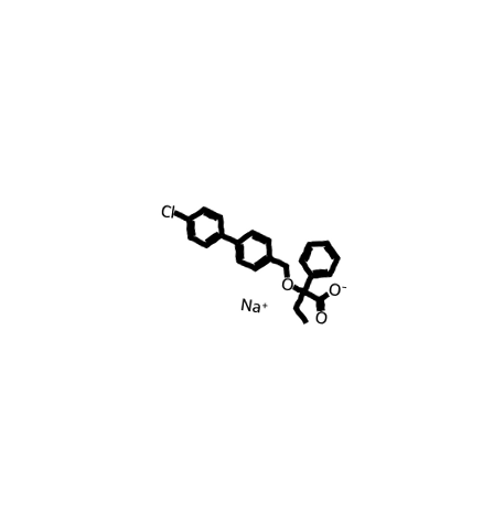 CCC(OCc1ccc(-c2ccc(Cl)cc2)cc1)(C(=O)[O-])c1ccccc1.[Na+]